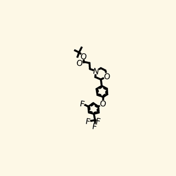 CC(C)(C)OC(=O)CCN1CCOC(c2ccc(Oc3cc(F)cc(C(F)(F)F)c3)cc2)C1